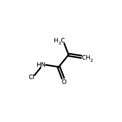 C=C(C)C(=O)NCl